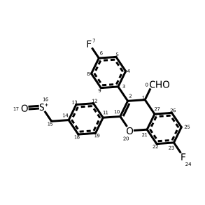 O=CC1C(c2ccc(F)cc2)=C(c2ccc(C[S+]=O)cc2)Oc2cc(F)ccc21